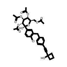 CC(=O)OC[C@H]1O[C@@](O)(c2ccc(Cl)c(Cc3ccc(C#CC4(O)CCC4)cc3)c2)[C@H](OC(C)=O)[C@@H](OC(C)=O)[C@@H]1OC(C)=O